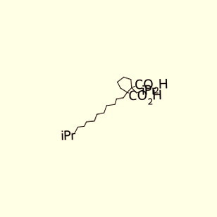 CC(C)CCCCCCCCCCC1(C(=O)O)CCCCC1(CC(C)C)C(=O)O